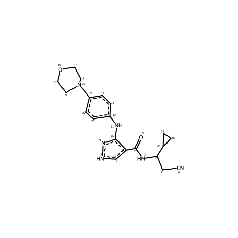 N#CCC(NC(=O)c1c[nH]nc1Nc1ccc(N2CCOCC2)cc1)C1CC1